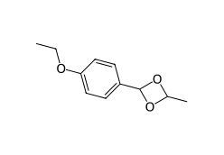 CCOc1ccc(C2OC(C)O2)cc1